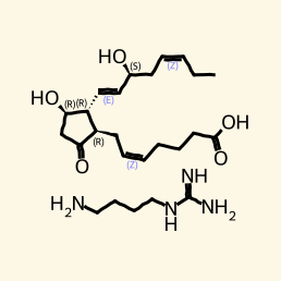 CC/C=C\C[C@H](O)/C=C/[C@H]1[C@H](O)CC(=O)[C@@H]1C/C=C\CCCC(=O)O.N=C(N)NCCCCN